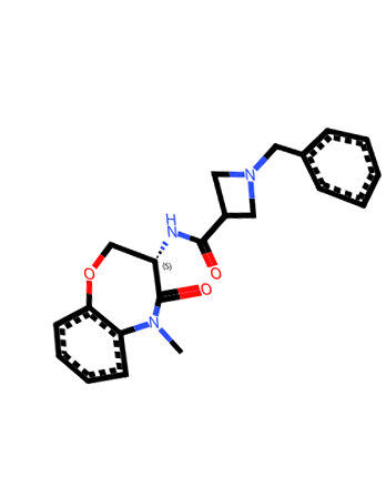 CN1C(=O)[C@@H](NC(=O)C2CN(Cc3ccccc3)C2)COc2ccccc21